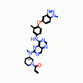 C=CC(=O)N1CCC[C@H](N(C)c2ncc3ncnc(Nc4ccc(Oc5ccc6c(c5)nnn6C)c(C)c4)c3n2)C1